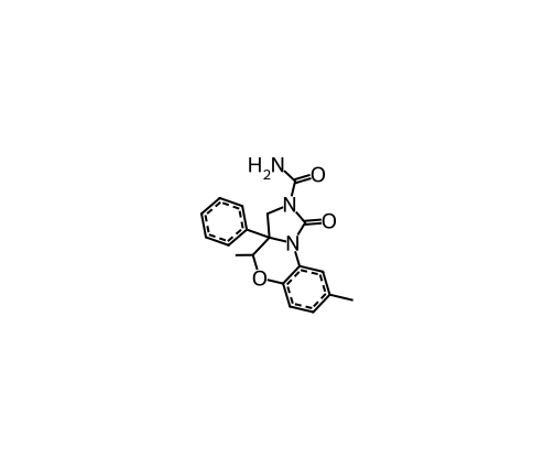 Cc1ccc2c(c1)N1C(=O)N(C(N)=O)CC1(c1ccccc1)C(C)O2